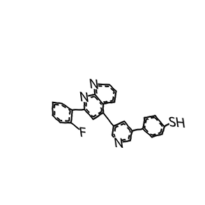 Fc1ccccc1-c1cc(-c2cncc(-c3ccc(S)cc3)c2)c2cccnc2n1